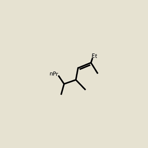 [CH2]CCC(C)C(C)C=C(C)C[CH2]